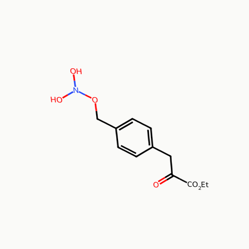 CCOC(=O)C(=O)Cc1ccc(CON(O)O)cc1